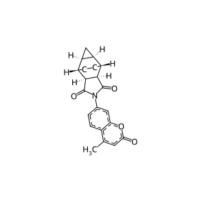 Cc1cc(=O)oc2cc(N3C(=O)[C@@H]4[C@@H]5CC[C@@H]([C@H]6C[C@H]65)[C@@H]4C3=O)ccc12